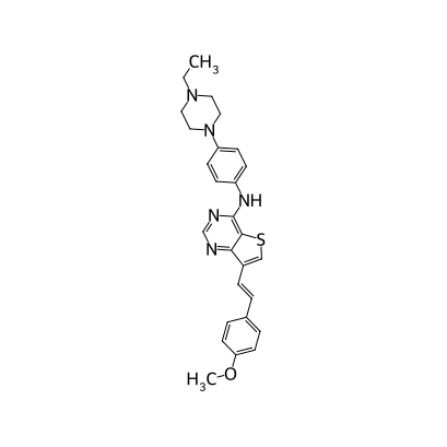 CCN1CCN(c2ccc(Nc3ncnc4c(C=Cc5ccc(OC)cc5)csc34)cc2)CC1